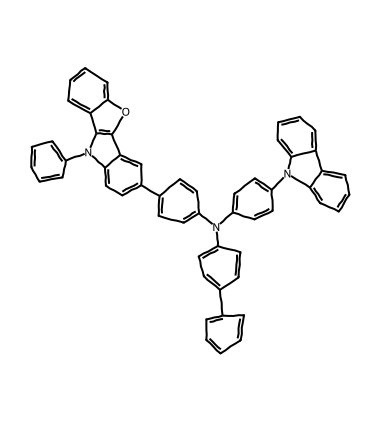 c1ccc(-c2ccc(N(c3ccc(-c4ccc5c(c4)c4oc6ccccc6c4n5-c4ccccc4)cc3)c3ccc(-n4c5ccccc5c5ccccc54)cc3)cc2)cc1